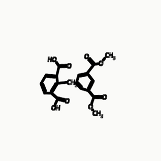 COC(=O)c1cccc(C(=O)OC)c1.Cc1c(C(=O)O)cccc1C(=O)O